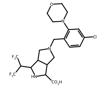 O=C(O)C1NC(C(C(F)(F)F)C(F)(F)F)C2CN(Cc3ccc(Cl)cc3N3CCOCC3)CC12